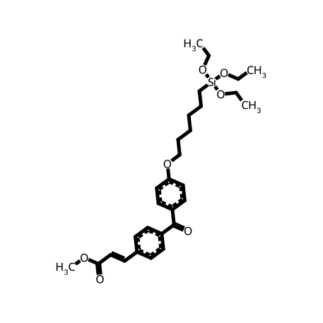 CCO[Si](CCCCCCOc1ccc(C(=O)c2ccc(C=CC(=O)OC)cc2)cc1)(OCC)OCC